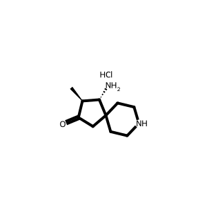 C[C@@H]1C(=O)CC2(CCNCC2)[C@H]1N.Cl